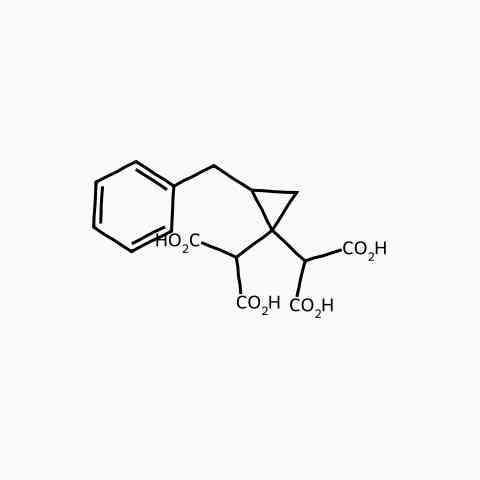 O=C(O)C(C(=O)O)C1(C(C(=O)O)C(=O)O)CC1Cc1ccccc1